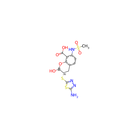 CS(=O)(=O)Nc1ccc2c(c1C(=O)O)OB(O)[C@@H](Sc1nnc(N)s1)C2